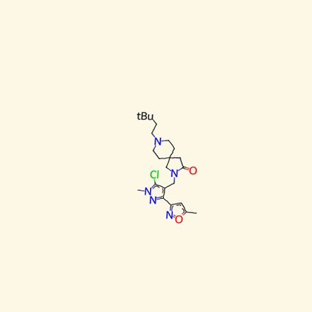 Cc1cc(-c2nn(C)c(Cl)c2CN2CC3(CCN(CCC(C)(C)C)CC3)CC2=O)no1